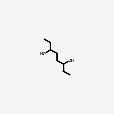 C[CH]C(O)CCC(O)CC